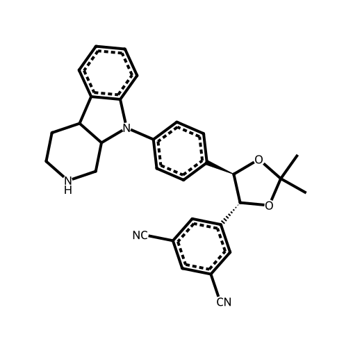 CC1(C)O[C@H](c2ccc(N3c4ccccc4C4CCNCC43)cc2)[C@@H](c2cc(C#N)cc(C#N)c2)O1